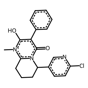 C[n+]1c(O)c(-c2ccccc2)c(=O)n2c1CCCC2c1ccc(Cl)nc1